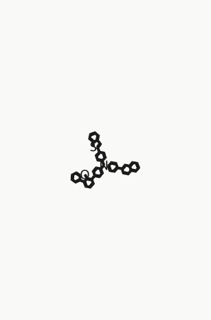 c1ccc2cc(-c3ccc(N(c4ccc(-c5cc6ccccc6s5)cc4)c4ccc(-c5cccc6c5oc5ccccc56)cc4)cc3)ccc2c1